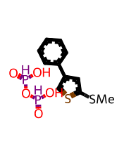 CSc1cc(-c2ccccc2)cs1.O=[PH](O)O[PH](=O)O